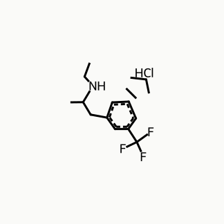 CC.CCC.CCNC(C)Cc1cccc(C(F)(F)F)c1.Cl